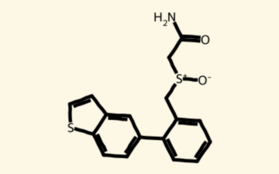 NC(=O)C[S+]([O-])Cc1ccccc1-c1ccc2sccc2c1